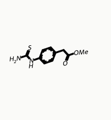 COC(=O)Cc1ccc(NC(N)=S)cc1